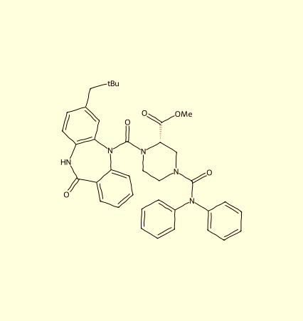 COC(=O)[C@@H]1CN(C(=O)N(c2ccccc2)c2ccccc2)CCN1C(=O)N1c2cc(CC(C)(C)C)ccc2NC(=O)c2ccccc21